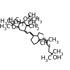 C=C1/C(=C\C=C2CCC[C@@]3(C)C2CC[C@@H]3[C@@H](C)CCCC(C)(C)O)C[C@@H](O[Si](C)(C)C)[C@H](C)[C@@H]1O[Si](C)(C)C